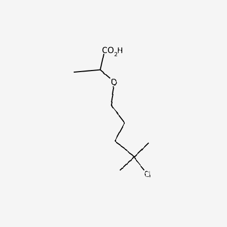 CC(OCCCC(C)(C)Cl)C(=O)O